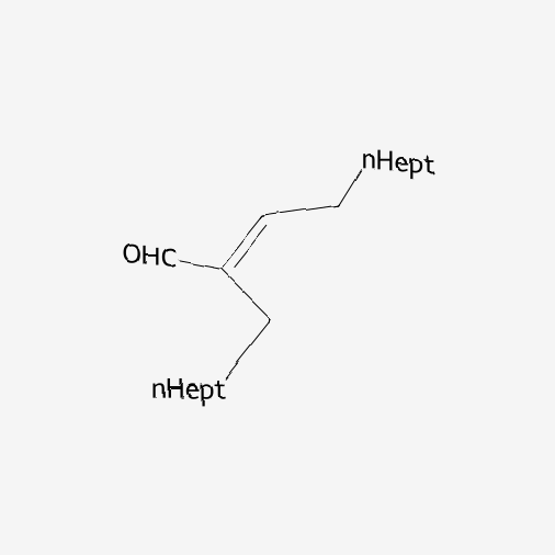 CCCCCCCCC=C(C=O)CCCCCCCC